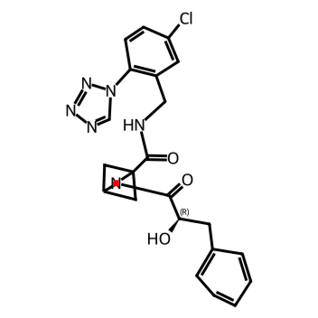 O=C([C@H](O)Cc1ccccc1)N1CC2CC1(C(=O)NCc1cc(Cl)ccc1-n1cnnn1)C2